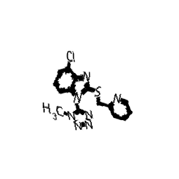 Cn1nnnc1-n1c(SCc2ccccn2)nc2c(Cl)cccc21